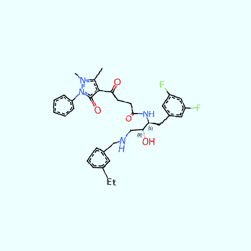 CCc1cccc(CNC[C@@H](O)[C@H](Cc2cc(F)cc(F)c2)NC(=O)CCC(=O)c2c(C)n(C)n(-c3ccccc3)c2=O)c1